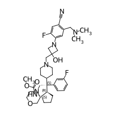 COC(=O)N[C@H]1CCC[C@@H]1[C@](CN1CCOCC1)(c1cccc(F)c1)C1CCN(CC2(O)CN(c3cc(CN(C)C)c(C#N)cc3F)C2)CC1